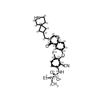 CCN(C)S(=O)(=O)Nc1ccc(F)c(Oc2ccc3ncn(CC4CC5(CCNCC5)C4)c(=O)c3c2)c1C#N